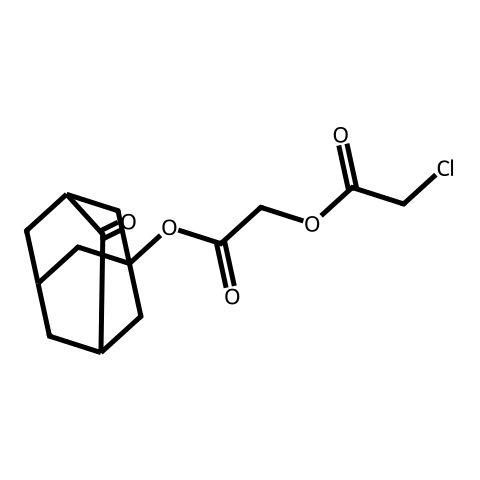 O=C(CCl)OCC(=O)OC12CC3CC(C1)C(=O)C(C3)C2